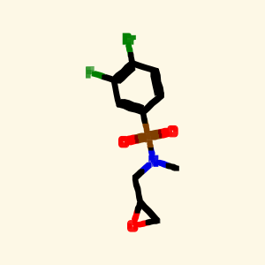 CN(CC1CO1)S(=O)(=O)c1ccc(Br)c(F)c1